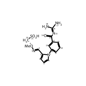 CON=Cc1cccn1-c1cccc(C(=O)N=C(N)N)c1.CS(=O)(=O)O